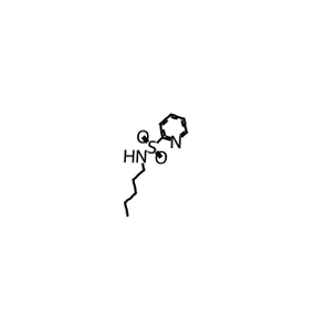 CCCCCNS(=O)(=O)c1ccccn1